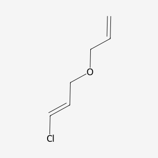 C=CCOCC=CCl